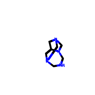 C1NCN2CN3CC2CN1C3